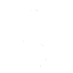 CC(C)(C)OC(=O)N1C[C@@H](Oc2ccc([N+](=O)[O-])cc2)C[C@H]1C(=O)O